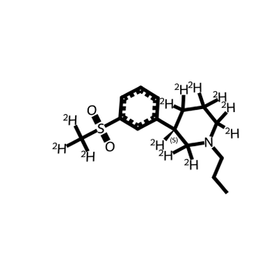 [2H]C1([2H])N(CCC)C([2H])([2H])[C@]([2H])(c2cccc(S(=O)(=O)C([2H])([2H])[2H])c2)C([2H])([2H])C1([2H])[2H]